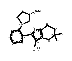 CO[C@H]1CCN(c2ccccc2-c2sc3c(c2C(=O)O)CC(C)(C)CC3)C1